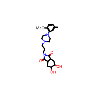 COc1ccc(C)cc1N1CCN(CCCN2C(=O)C3CC(O)C(O)CC3C2=O)CC1